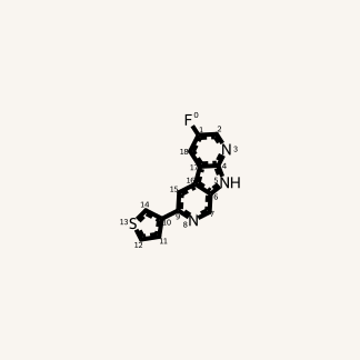 Fc1cnc2[nH]c3cnc(-c4ccsc4)cc3c2c1